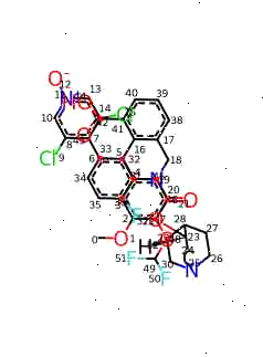 COc1cc([C@H](Cc2c(Cl)c[n+]([O-])cc2Cl)c2c(CN(C(=O)O[C@H]3CN4CCC3CC4)c3ccccc3F)cccc2C(=O)O)ccc1OC(F)F